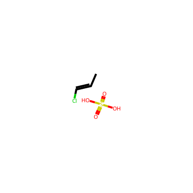 CC=CCl.O=S(=O)(O)O